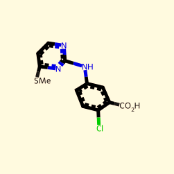 CSc1ccnc(Nc2ccc(Cl)c(C(=O)O)c2)n1